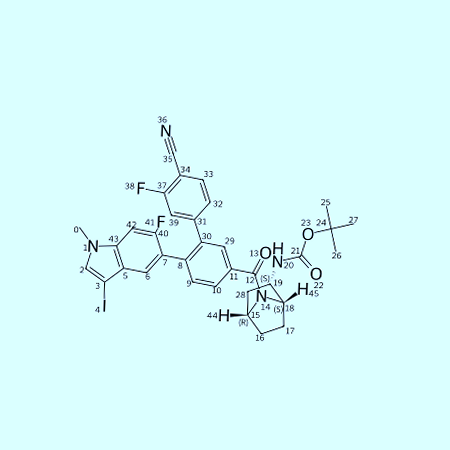 Cn1cc(I)c2cc(-c3ccc(C(=O)N4[C@@H]5CC[C@H]4[C@@H](NC(=O)OC(C)(C)C)C5)cc3-c3ccc(C#N)c(F)c3)c(F)cc21